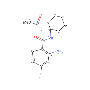 COC(=O)CC1(NC(=O)c2ccc(F)cc2N)CCCCC1